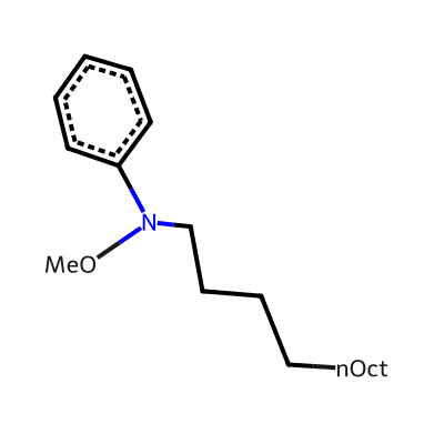 CCCCCCCCCCCCN(OC)c1ccccc1